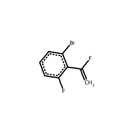 C=C(F)c1c(F)cccc1Br